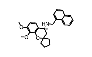 COc1ccc2c(c1OC)OC1(CCCC1)C[C@H]2NCc1cccc2ccccc12